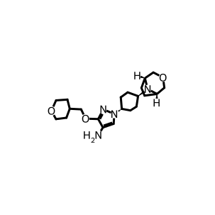 Nc1cn([C@H]2CC[C@H](N3[C@@H]4CC[C@H]3COC4)CC2)nc1OCC1CCOCC1